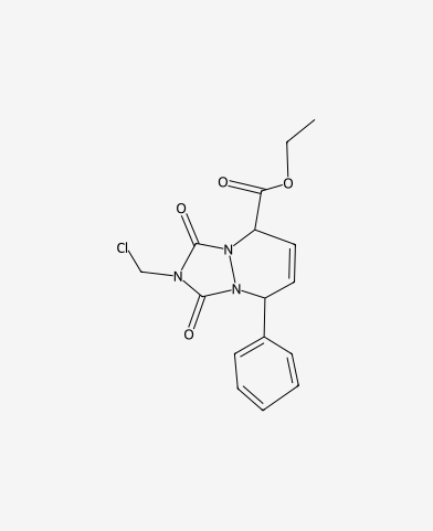 CCOC(=O)C1C=CC(c2ccccc2)n2c(=O)n(CCl)c(=O)n21